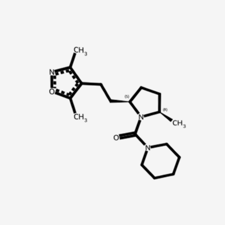 Cc1noc(C)c1CC[C@H]1CC[C@@H](C)N1C(=O)N1CCCCC1